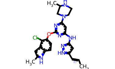 C/C=C/c1cc(Nc2cc(N3CCNC(C)C3)nc(Oc3ccc4[nH]c(C)cc4c3Cl)n2)n[nH]1